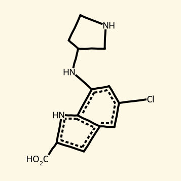 O=C(O)c1cc2cc(Cl)cc(NC3CCNC3)c2[nH]1